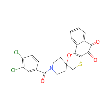 O=C1C(=O)c2ccccc2C2=C1SCC1(CCN(C(=O)c3ccc(Cl)c(Cl)c3)CC1)O2